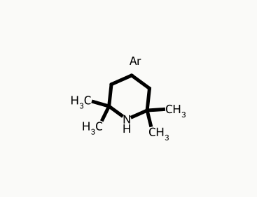 CC1(C)CCCC(C)(C)N1.[Ar]